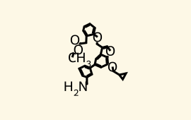 CCOC(=O)Cc1ccccc1OCc1coc2c(OCC3CC3)cc(-c3cccc(CN)c3)cc12